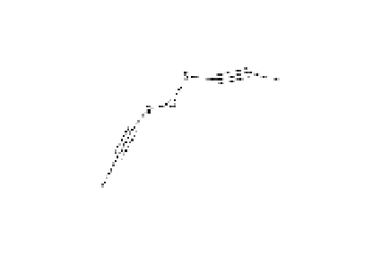 CC#CSOSC#CC